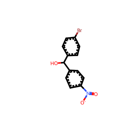 O=[N+]([O-])c1ccc(C(O)c2ccc(Br)cc2)cc1